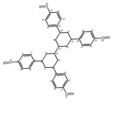 COc1ccc(C2CC(c3ccc(OC)cc3)CC(C3CC(c4ccc(OC)cc4)CC(c4ccc(OC)cc4)C3)C2)cc1